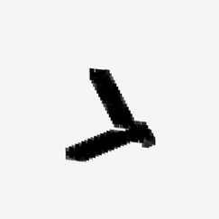 Cl.Cl.Cl.Cl.Cl.Cl.Cl.Cl.Cl.Cl.Cl.Cl.Cl.Cl.Cl.Cl.Cl.Cl.Cl.Cl.Cl.Cl.Cl.Cl.Cl.Cl.Cl.Cl.Cl.Cl.N.N.N.N.N